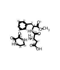 COC(=O)[C@H](Cc1ccccc1)NC(=O)[C@@H](N)CC(=O)O.O=C1NCCNC1=O